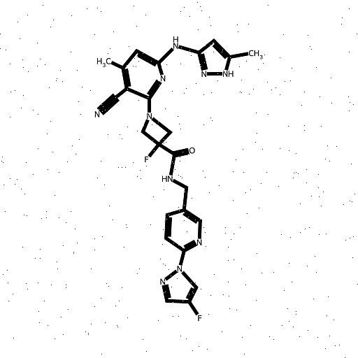 Cc1cc(Nc2cc(C)c(C#N)c(N3CC(F)(C(=O)NCc4ccc(-n5cc(F)cn5)nc4)C3)n2)n[nH]1